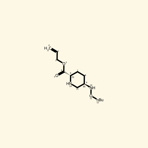 C=CCOC(=O)[C@@H]1CC[C@@H](NOCCCC)CN1